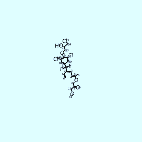 C=C/C(=C\C=C(/C)OCC(=O)COC)C(F)(F)c1cc(Cl)c(OC[C@H](O)CCl)c(Cl)c1